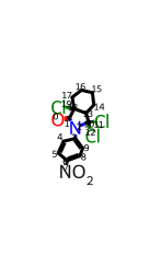 O=C1N(c2ccc([N+](=O)[O-])cc2)C(Cl)(Cl)C2CCCCC12Cl